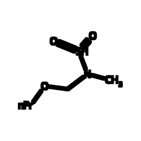 CCCOCN(C)[SH](=O)=O